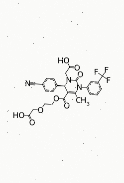 CC1=C(C(=O)OCCOCC(=O)O)[C@@H](c2ccc(C#N)cc2)N(CC(=O)O)C(=O)N1c1cccc(C(F)(F)F)c1